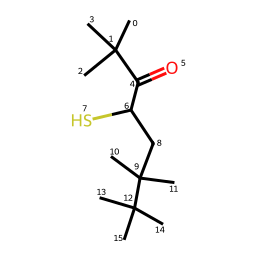 CC(C)(C)C(=O)C(S)CC(C)(C)C(C)(C)C